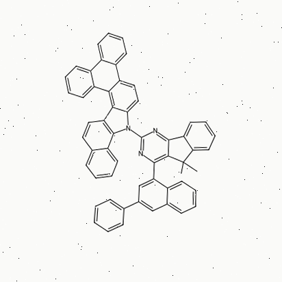 CC1(C)c2ccccc2-c2nc(-n3c4ccc5c6ccccc6c6ccccc6c5c4c4ccc5ccccc5c43)nc(-c3cc(-c4ccccc4)cc4ccccc34)c21